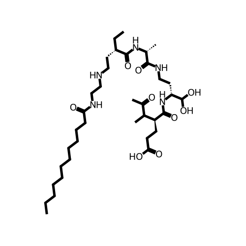 CCCCCCCCCCCC(=O)NCCNCC[C@H](CC)C(=O)N[C@H](C)C(=O)NCC[C@@H](NC(=O)[C@@H](CCC(=O)O)C(C)C(C)=O)C(O)O